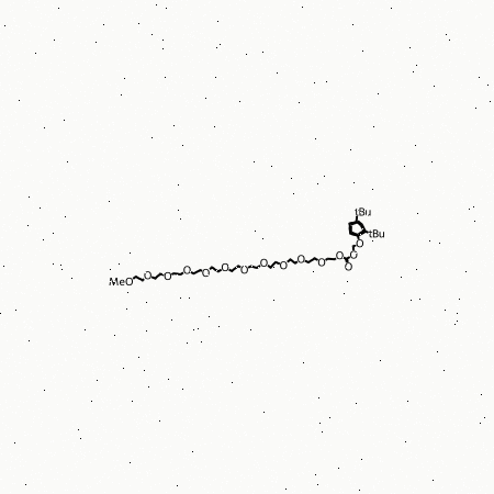 COCCOCCOCCOCCOCCOCCOCCOCCOCCOCCOCCOC(=O)OCOc1ccc(C(C)(C)C)cc1C(C)(C)C